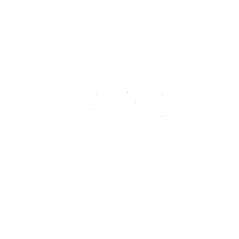 COc1ccccc1C(OC1CC2(COC2)C1)C(=O)O